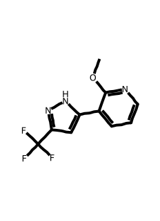 COc1ncccc1-c1cc(C(F)(F)F)n[nH]1